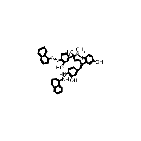 CN1n2c(/c(=C\c3ccc(NNc4cccc5ccccc45)c(O)c3)c3cc(O)ccc32)=CC1(C)c1ccc(/N=N/c2cccc3ccccc23)c(O)c1